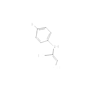 C/C(=C\O)Nc1ccc(F)cc1